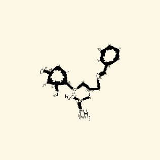 CN(C)C[C@@H](COCc1ccccc1)COc1ccc(Cl)cc1I